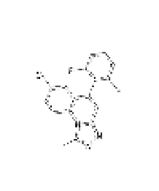 Cc1nnc2cc(-c3c(F)cccc3F)c3cc(Cl)ccc3n12